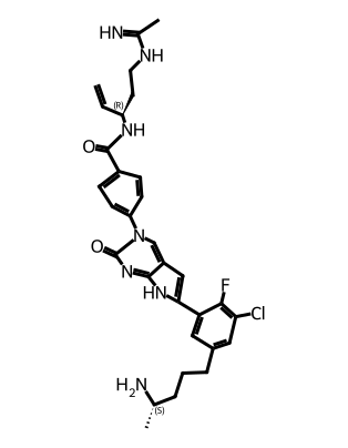 C=C[C@@H](CCNC(C)=N)NC(=O)c1ccc(-n2cc3cc(-c4cc(CCC[C@H](C)N)cc(Cl)c4F)[nH]c3nc2=O)cc1